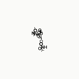 Cc1ccc2c(c1)nc(C)n2[C@@H]1CCN(CC2Cc3ccc(NC(=O)C(C)C)cc3C2)C[C@H]1OS(C)(=O)=O